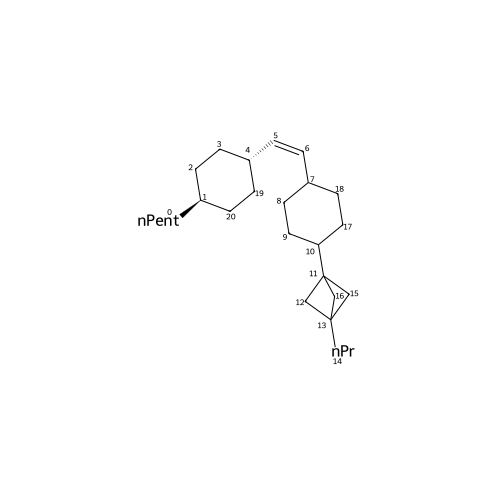 CCCCC[C@H]1CC[C@H](/C=C\C2CCC(C34CC(CCC)(C3)C4)CC2)CC1